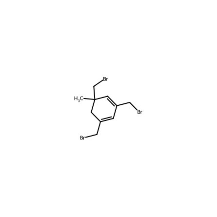 CC1(CBr)C=C(CBr)C=C(CBr)C1